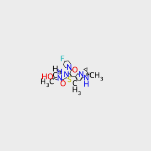 Cc1cc(N[C@H](C)C2CC2)ncc1-c1sc(C(=O)NCC(C)(C)O)nc1C(=O)N1CCC(F)CC1